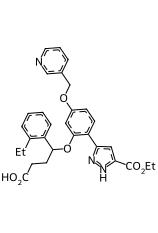 CCOC(=O)c1cc(-c2ccc(OCc3cccnc3)cc2OC(CCC(=O)O)c2ccccc2CC)n[nH]1